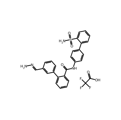 NN=Cc1cccc(-c2ccccc2C(=O)Nc2ccc(-c3ccccc3S(N)(=O)=O)cc2)c1.O=C(O)C(F)(F)F